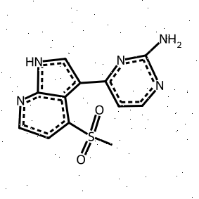 CS(=O)(=O)c1ccnc2[nH]cc(-c3ccnc(N)n3)c12